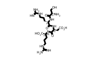 N=C(N)NCCC[C@H](NC(=O)[C@H](CC(=O)O)NC(=O)[C@H](CCCNC(=N)N)NC(=O)[C@@H](N)CO)C(=O)O